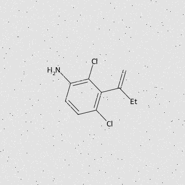 C=C(CC)c1c(Cl)ccc(N)c1Cl